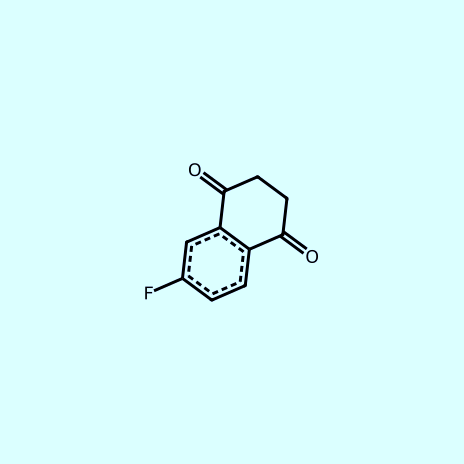 O=C1CCC(=O)c2cc(F)ccc21